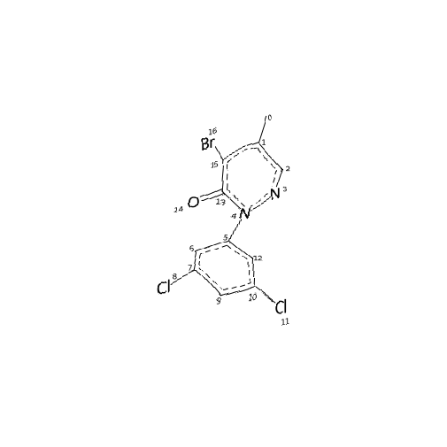 Cc1cnn(-c2cc(Cl)cc(Cl)c2)c(=O)c1Br